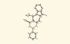 Cn1c2ccccc2c2c(N)c3c(nc21)CC(c1ccccc1)CC3=O